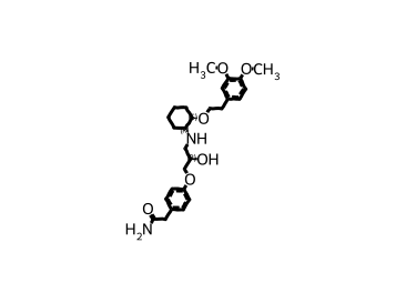 COc1ccc(CCO[C@H]2CCCC[C@H]2NC[C@@H](O)COc2ccc(CC(N)=O)cc2)cc1OC